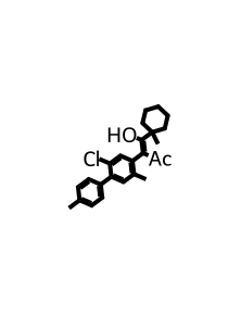 CC(=O)/C(=C(/O)C1(C)CCCCC1)c1cc(Cl)c(-c2ccc(C)cc2)cc1C